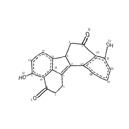 O=C1CC2C(=C3CCC(=O)c4c(O)ccc2c43)c2cccc(O)c21